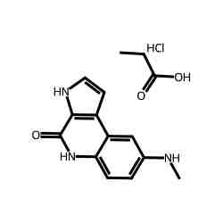 CCC(=O)O.CNc1ccc2[nH]c(=O)c3[nH]ccc3c2c1.Cl